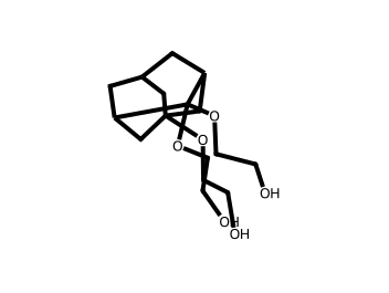 OCCOC12CC3CC(C1)C(OCCO)(OCCO)C(C3)C2